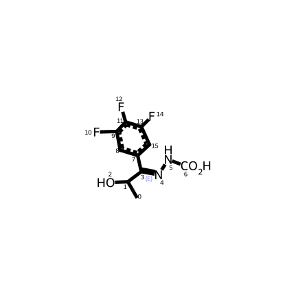 CC(O)/C(=N/NC(=O)O)c1cc(F)c(F)c(F)c1